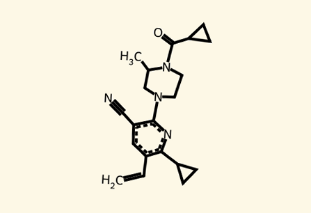 C=Cc1cc(C#N)c(N2CCN(C(=O)C3CC3)C(C)C2)nc1C1CC1